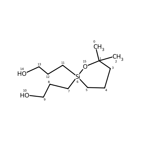 CC1(C)CCC[Si](CCCO)(CCCO)O1